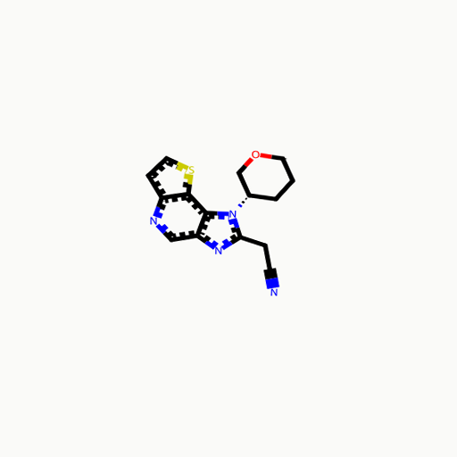 N#CCc1nc2cnc3ccsc3c2n1[C@H]1CC[CH]OC1